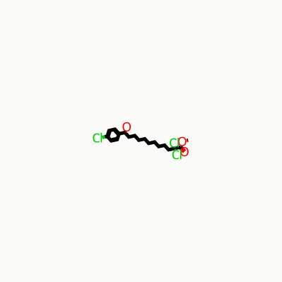 COC(=O)C(Cl)(Cl)CCCCCCCCCC(=O)c1ccc(Cl)cc1